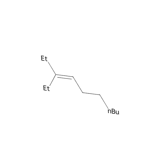 [CH2]CC(=CCCCCCC)CC